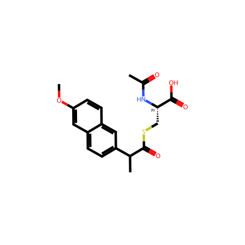 COc1ccc2cc(C(C)C(=O)SC[C@H](NC(C)=O)C(=O)O)ccc2c1